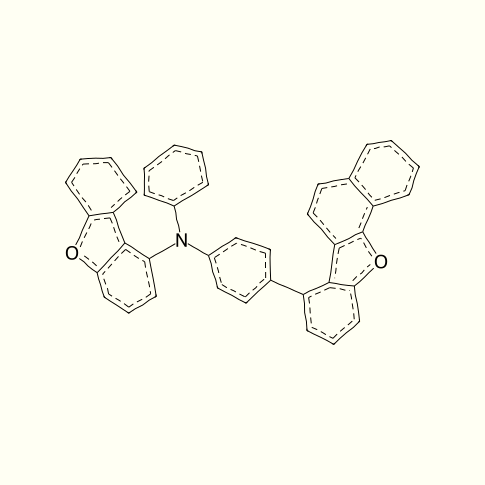 c1ccc(N(c2ccc(-c3cccc4oc5c6ccccc6ccc5c34)cc2)c2cccc3oc4ccccc4c23)cc1